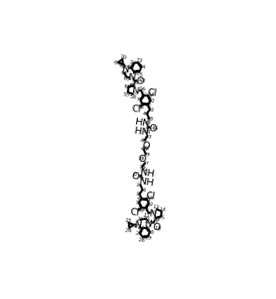 O=C(NCCCc1cc(Cl)c(CN2CCC[C@H]2C(=O)N2CCN(C3CC3)c3ccccc32)cc1Cl)NCCOCCOCCNC(=O)NCCCc1cc(Cl)c(CN2CCC[C@H]2C(=O)N2CCN(C3CC3)c3ccccc32)cc1Cl